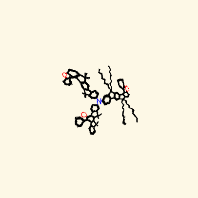 CCCCCCCCC1(CCCCCCCC)c2cc(N(c3ccc4c(c3)C(C)(C)c3cc5c(cc3-4)C(C)(C)c3ccc4oc6ccccc6c4c3-5)c3ccc4c(c3)C(C)(C)c3c5c(c6c(oc7ccccc76)c3-4)-c3ccccc3C5(C)C)ccc2-c2cc3c(cc21)-c1c(ccc2oc4ccccc4c12)C3(CCCCCCCC)CCCCCCCC